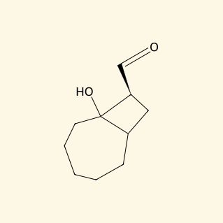 O=C[C@H]1CC2CCCCCC21O